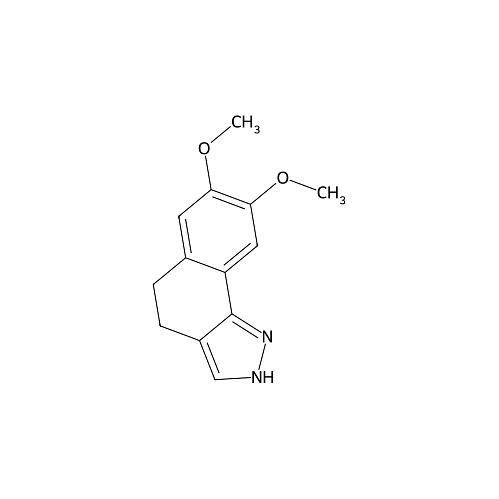 COc1cc2c(cc1OC)-c1n[nH]cc1CC2